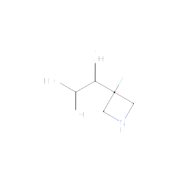 CC(C)C(C)C1(F)CNC1